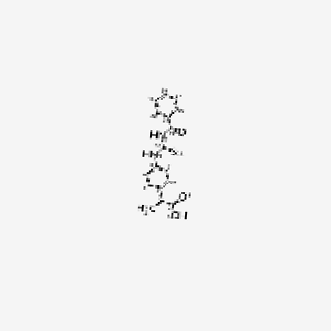 C=C(C(=O)O)c1ccc(NC(=S)NC(=O)c2ccccc2)cc1